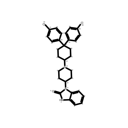 O=c1[nH]c2ccccc2n1C1CCN(C2CCC(c3ccc(Cl)cc3)(c3ccc(Cl)cc3)CC2)CC1